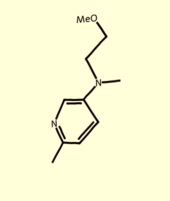 COCCN(C)c1ccc(C)nc1